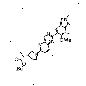 COc1c(-c2ncc3nc(N4CCC(N(C)C(=O)OC(C)(C)C)C4)ccc3n2)cc2cn(C)nc2c1C